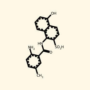 Cc1ccc(N)c(C(=O)Nc2c(S(=O)(=O)O)ccc3c(O)cccc23)c1